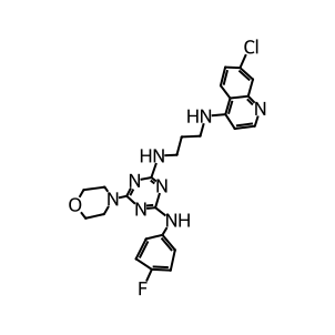 Fc1ccc(Nc2nc(NCCCNc3ccnc4cc(Cl)ccc34)nc(N3CCOCC3)n2)cc1